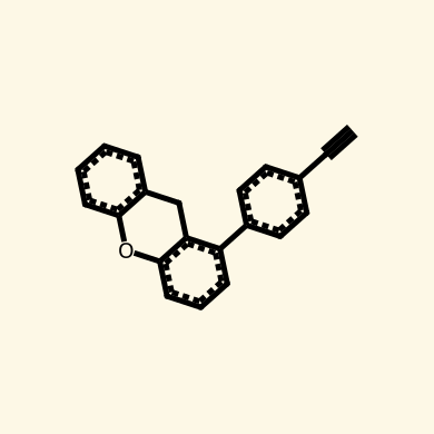 C#Cc1ccc(-c2cccc3c2Cc2ccccc2O3)cc1